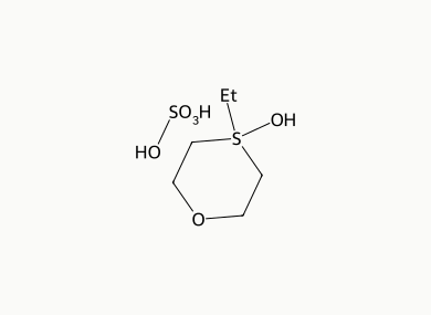 CCS1(O)CCOCC1.O=S(=O)(O)O